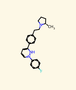 C[C@@H]1CCCN1CCc1ccc(C2=CC=CN(c3ccc(F)cc3)N2)cc1